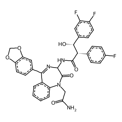 NC(=O)CN1C(=O)C(NC(=O)[C@@H](c2ccc(F)cc2)[C@H](O)c2ccc(F)c(F)c2)N=C(c2ccc3c(c2)OCO3)c2ccccc21